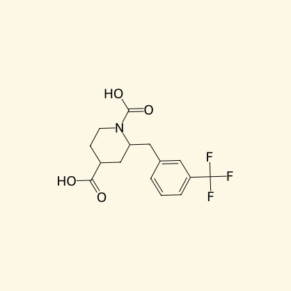 O=C(O)C1CCN(C(=O)O)C(Cc2cccc(C(F)(F)F)c2)C1